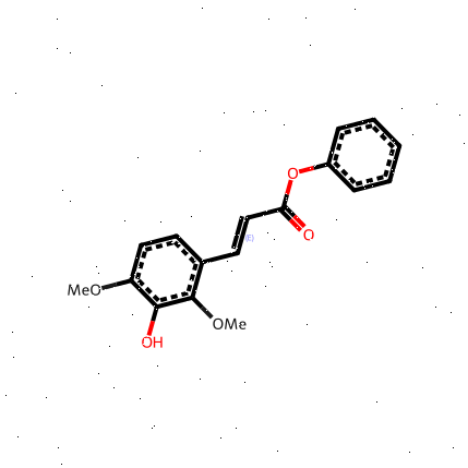 COc1ccc(/C=C/C(=O)Oc2ccccc2)c(OC)c1O